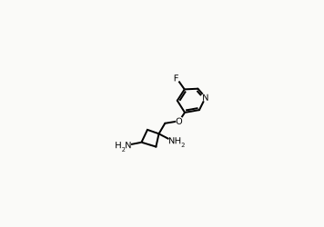 NC1CC(N)(COc2cncc(F)c2)C1